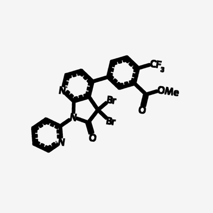 COC(=O)c1cc(-c2ccnc3c2C(Br)(Br)C(=O)N3c2ccccn2)ccc1C(F)(F)F